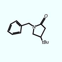 CC(C)(C)C1CC(=O)N(Cc2ccccc2)C1